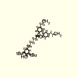 C=CCc1ccc(O)c(-c2cc(CC=C)ccc2OCCCCCCSc2cc(C(C)(C)C)c(O)c(C(C)(C)C)c2)c1